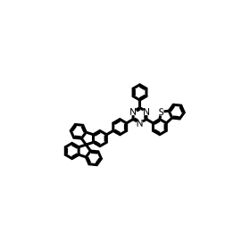 c1ccc(-c2nc(-c3ccc(-c4ccc5c(c4)-c4ccccc4C54c5ccccc5-c5ccccc54)cc3)nc(-c3cccc4c3sc3ccccc34)n2)cc1